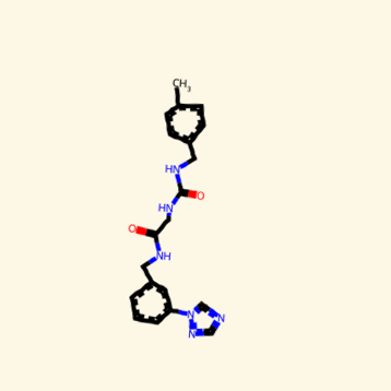 Cc1ccc(CNC(=O)NCC(=O)NCc2cccc(-n3cncn3)c2)cc1